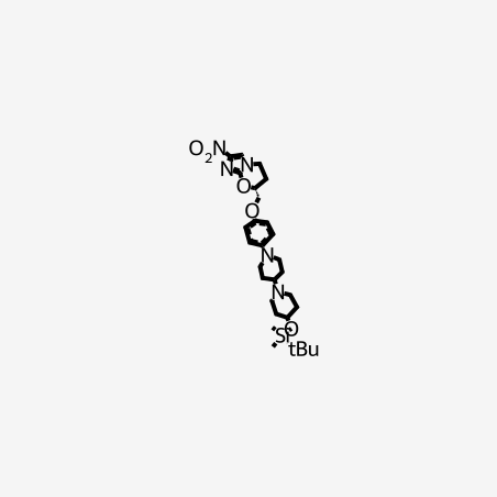 CC(C)(C)[Si](C)(C)OC1CCN(C2CCN(c3ccc(OC[C@H]4CCn5cc([N+](=O)[O-])nc5O4)cc3)CC2)CC1